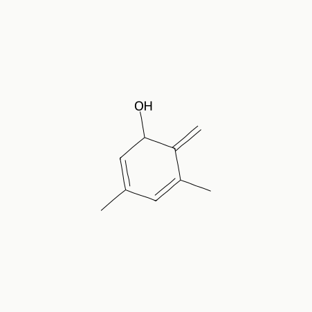 C=C1C(C)=CC(C)=CC1O